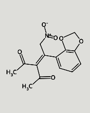 CC(=O)C(C(C)=O)=C(C[N+](=O)[O-])c1cccc2c1OCO2